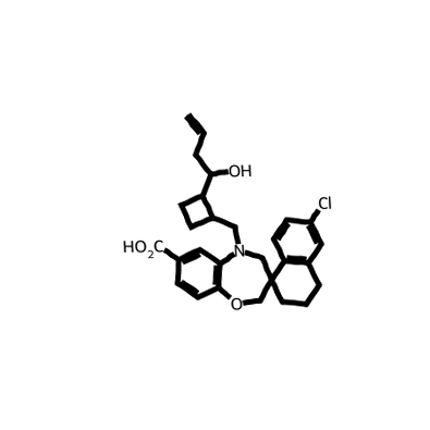 C=CCC(O)C1CCC1CN1CC2(CCCc3cc(Cl)ccc32)COc2ccc(C(=O)O)cc21